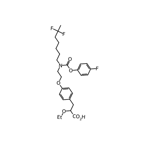 CCOC(Cc1ccc(OCCN(CCCCCC(C)(F)F)C(=O)Oc2ccc(F)cc2)cc1)C(=O)O